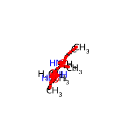 CCCCCCCCCCCCCCC#CC#CC(=O)OC(C)(C(/C=C/CCCCCCCC(=O)OC(C)(C)C1CCNCC1CC(C)(OC(=O)c1ccc(CCCCCCCC)cc1)C1CCNCC1)CCCCCCC)C1CCNCC1